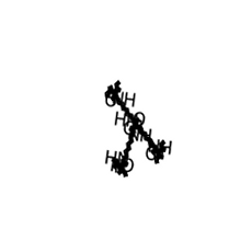 CCC(C)N(C(=O)NCCCCCCNC(=O)N(CCCCCCNC(=O)N(C(C)CC)C(C)CC)C(=O)NCCCCCCNC(=O)N(C(C)CC)N(C)CC)C(C)CC